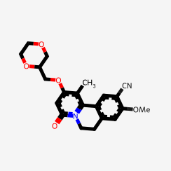 COc1cc2c(cc1C#N)-c1c(C)c(OCC3COCCO3)cc(=O)n1CC2